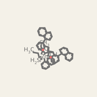 CCC[CH2][Zr](=[SiH2])([CH2]CCC)([c]1ccccc1)([c]1ccccc1)([CH]1C(C)=Cc2c(-c3cccc4ccccc34)cccc21)[CH]1C(C)=Cc2c(-c3cccc4ccccc34)cccc21